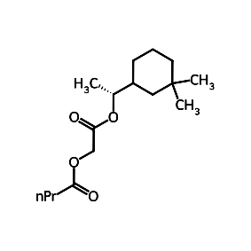 CCCC(=O)OCC(=O)O[C@H](C)C1CCCC(C)(C)C1